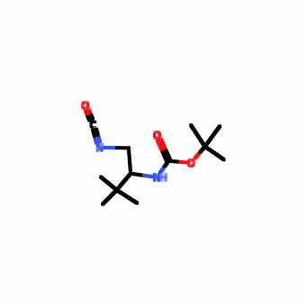 CC(C)(C)OC(=O)NC(CN=C=O)C(C)(C)C